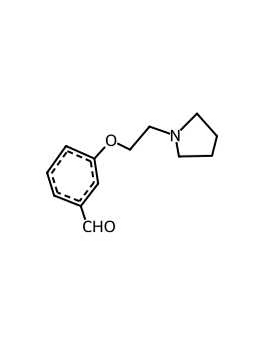 O=Cc1cccc(OCCN2CCCC2)c1